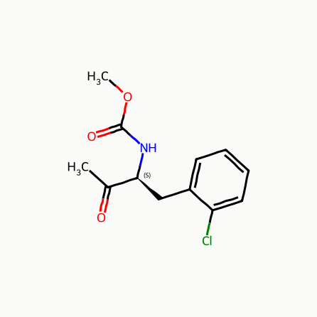 COC(=O)N[C@@H](Cc1ccccc1Cl)C(C)=O